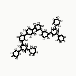 C1=CC(c2nc(-c3ccccc3)cc(-c3cccc(-c4cccc5c4sc4cc(-c6cccc(-c7cc(-c8ccccc8)nc(-c8ccccc8)n7)c6)ccc45)c3)n2)=CCC1